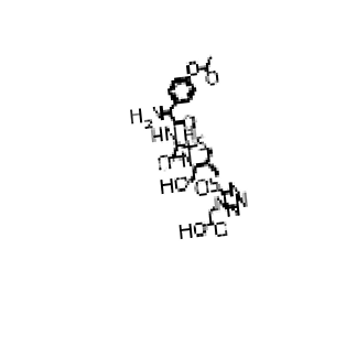 CC(=O)Oc1ccc(C(N)C(=O)NC2C(=O)N3C(C(=O)O)=C(CSc4nnnn4CC(=O)O)CS[C@H]23)cc1